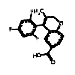 CC1=C(c2c(F)cc(F)cc2F)c2cc(C(=O)O)ccc2OC1